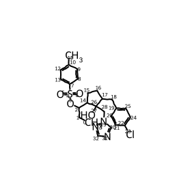 CCC(OS(=O)(=O)c1ccc(C)cc1)C1CCC(Cc2ccc(Cl)cc2)C1(O)Cn1cncn1